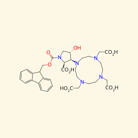 O=C(O)CN1CCN(CC(=O)O)CCN([C@H]2[C@@H](C(=O)O)N(C(=O)OCC3c4ccccc4-c4ccccc43)C[C@@H]2O)CCN(CC(=O)O)CC1